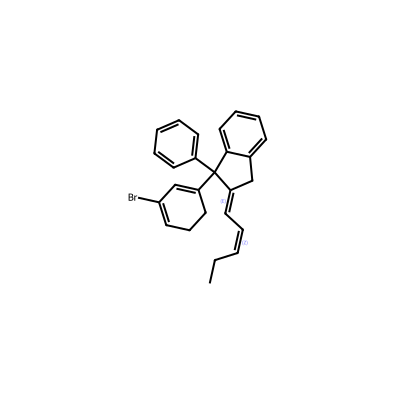 CC/C=C\C=C1/Cc2ccccc2C1(C1=CC(Br)=CCC1)c1ccccc1